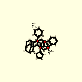 [Cl-].[Cl-].[Zr+2][CH]1c2ccccc2-c2ccc(C34CC5CC(CC(C5)C3=C(c3ccccc3)c3ccccc3)C4)c(C3=CC=CC3)c21